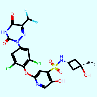 B[C@]1(O)C[C@H](NS(=O)(=O)c2cc(Oc3c(Cl)cc(-n4nc(C(F)F)c(=O)[nH]c4=O)cc3Cl)ncc2O)C1